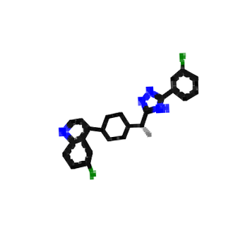 C[C@@H](c1nnc(-c2cccc(F)c2)[nH]1)C1CCC(c2ccnc3ccc(F)cc23)CC1